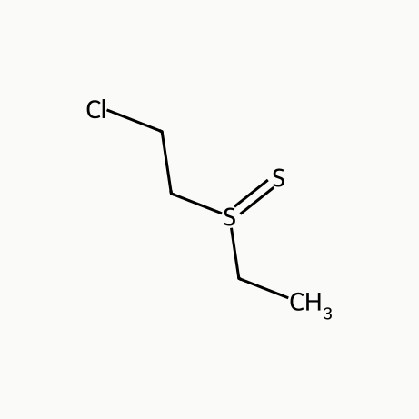 CCS(=S)CCCl